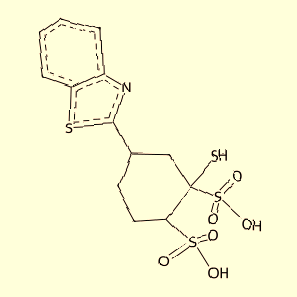 O=S(=O)(O)C1CCC(c2nc3ccccc3s2)CC1(S)S(=O)(=O)O